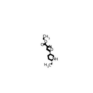 CCOC(=O)c1cc([C@@H]2CC[C@@H](CC)NC2)on1